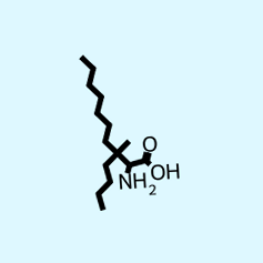 CCCCCCCC(C)(CCCC)C(N)C(=O)O